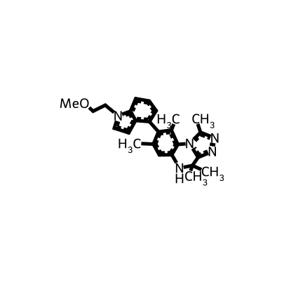 COCCn1ccc2c(-c3c(C)cc4c(c3C)-n3c(C)nnc3C(C)(C)N4)cccc21